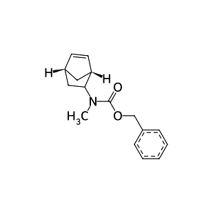 CN(C(=O)OCc1ccccc1)C1C[C@@H]2C=C[C@H]1C2